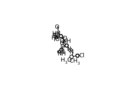 CC1(C)CCC(CN2CCN(c3ccc(C(=O)NS(=O)(=O)c4ccc(NCCC=O)c(S(=O)(=O)C(F)(F)F)c4)c(Oc4cnc5[nH]ccc5c4)c3)CC2)=C(c2ccc(Cl)cc2)C1